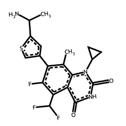 Cc1c(-c2csc(C(C)N)c2)c(F)c(C(F)F)c2c(=O)[nH]c(=O)n(C3CC3)c12